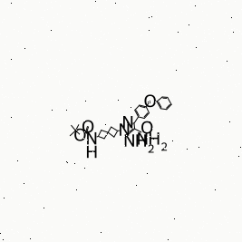 CC(C)(C)OC(=O)NC1CC2(C1)CC(n1nc(-c3ccc(Oc4ccccc4)cc3)c(C(N)=O)c1N)C2